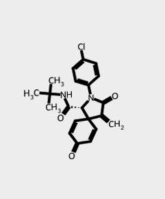 C=C1C(=O)N(c2ccc(Cl)cc2)[C@@H](C(=O)NC(C)(C)C)C12C=CC(=O)C=C2